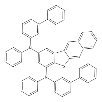 c1ccc(-c2cccc(N(c3ccccc3)c3cc(N(c4ccccc4)c4cccc(-c5ccccc5)c4)c4sc5cc6ccccc6cc5c4c3)c2)cc1